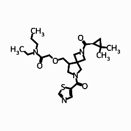 CCCN(CC)C(=O)COCC1CN(C(=O)c2cncs2)CC12CN(C(=O)[C@H]1CC1(C)C)C2